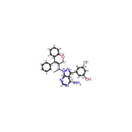 CC(C1=C(c2ccccc2)c2ccccc2OC1)n1nc(-c2cc(O)cc(Cl)c2)c2c(N)ncnc21